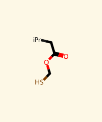 CC(C)CC(=O)OCS